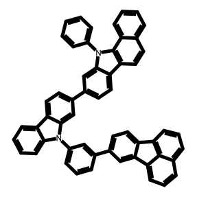 c1ccc(-n2c3cc(-c4ccc5c6ccccc6n(-c6cccc(-c7ccc8c(c7)-c7cccc9cccc-8c79)c6)c5c4)ccc3c3ccc4ccccc4c32)cc1